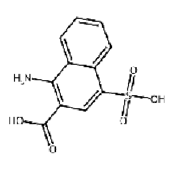 Nc1c(C(=O)O)cc(S(=O)(=O)O)c2ccccc12